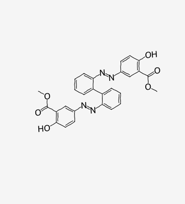 COC(=O)c1cc(/N=N/c2ccccc2-c2ccccc2/N=N/c2ccc(O)c(C(=O)OC)c2)ccc1O